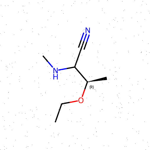 CCO[C@H](C)C(C#N)NC